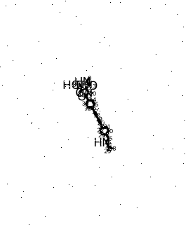 CNC(=O)C(C(=O)NO)N(C)C(=O)c1ccc(C#CC#Cc2ccc(CNC3CC3)cc2)cc1